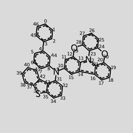 c1ccc(-c2cccc(N(c3cc4c5c(c3)c3cccc6c3n5-c3c(cccc3O4)O6)c3cccc4sc5ccccc5c34)c2)cc1